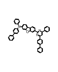 c1ccc(-c2ccc(-c3cc(-c4ccccc4)nc(-c4ccc5c(c4)oc4cc(N(c6ccccc6)c6ccc(-c7ccccc7)cc6)ccc45)n3)cc2)cc1